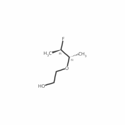 C[C@H](OCCO)[C@@H](C)F